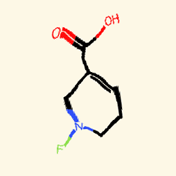 O=C(O)C1=CCCN(F)C1